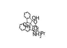 CC(C)c1ccc2c(c1)OC1(O)c3ccccc3C(=O)C21n1c(C(N)=O)cc2ccccc21